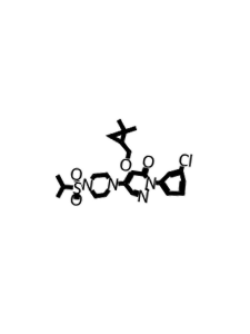 CC(C)S(=O)(=O)N1CCN(c2cnn(-c3cccc(Cl)c3)c(=O)c2OCC2CC2(C)C)CC1